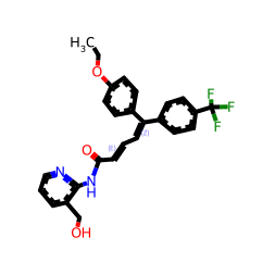 CCOc1ccc(/C(=C\C=C\C(=O)Nc2ncccc2CO)c2ccc(C(F)(F)F)cc2)cc1